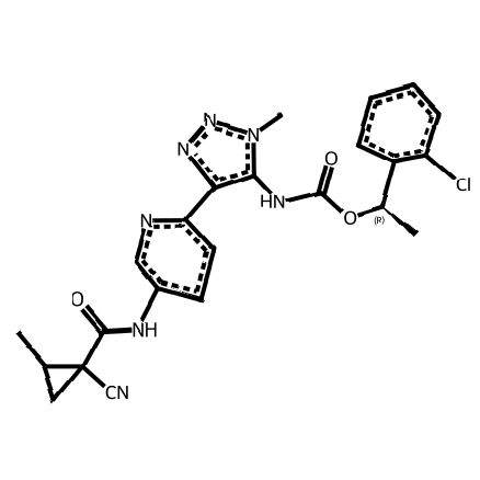 CC1CC1(C#N)C(=O)Nc1ccc(-c2nnn(C)c2NC(=O)O[C@H](C)c2ccccc2Cl)nc1